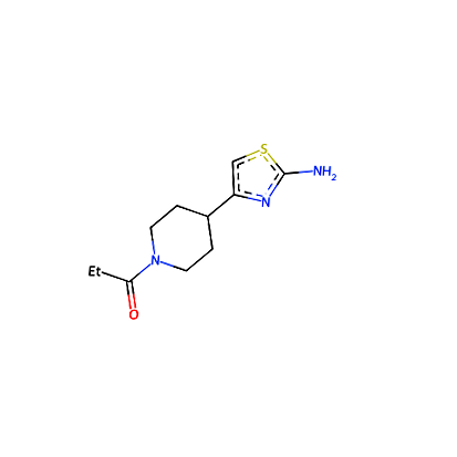 CCC(=O)N1CCC(c2csc(N)n2)CC1